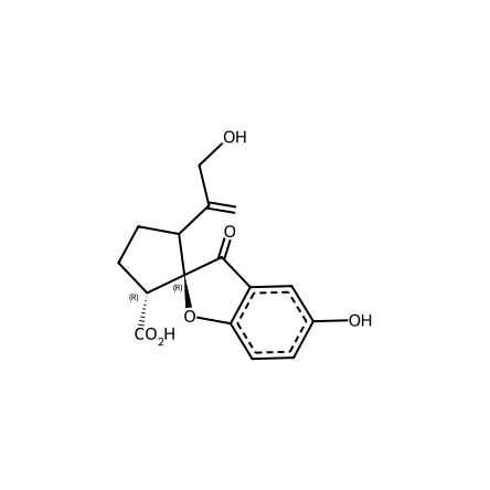 C=C(CO)C1CC[C@@H](C(=O)O)[C@]12Oc1ccc(O)cc1C2=O